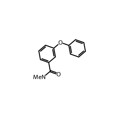 [CH2]NC(=O)c1cccc(Oc2ccccc2)c1